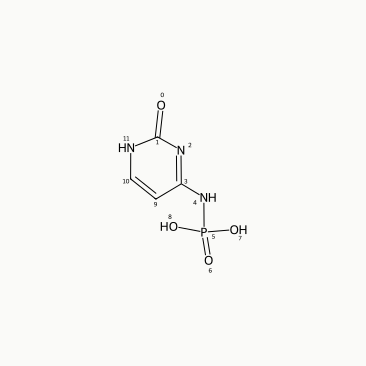 O=c1nc(NP(=O)(O)O)cc[nH]1